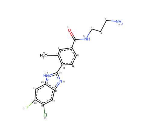 Cc1cc(C(=O)NCCCN)ccc1-c1nc2cc(Cl)c(F)cc2[nH]1